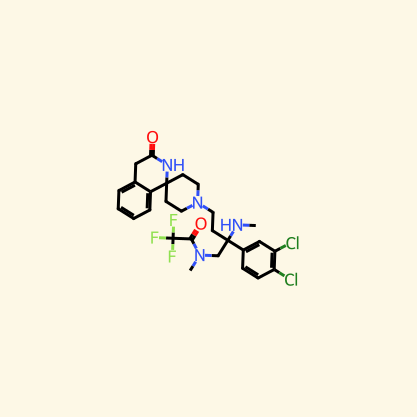 CNC(CCN1CCC2(CC1)NC(=O)Cc1ccccc12)(CN(C)C(=O)C(F)(F)F)c1ccc(Cl)c(Cl)c1